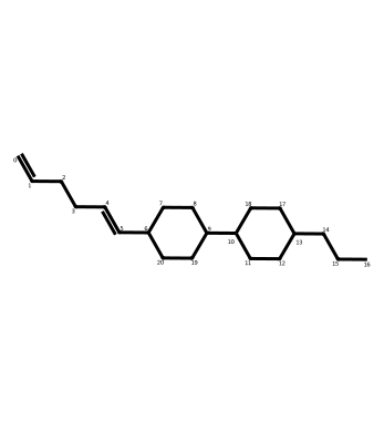 C=CCCC=CC1CCC(C2CCC(CCC)CC2)CC1